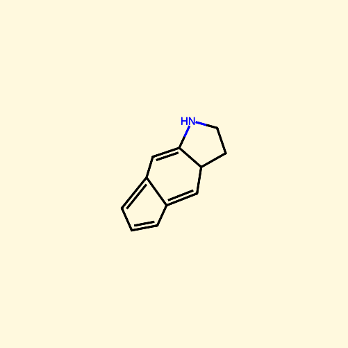 C1=CC2=CC3CCNC3=CC2=C1